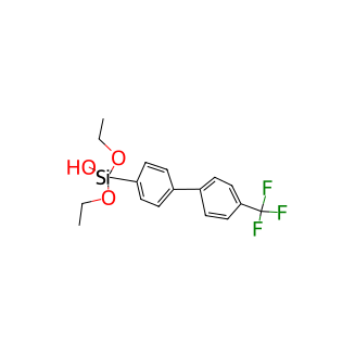 CCO[Si](O)(OCC)c1ccc(-c2ccc(C(F)(F)F)cc2)cc1